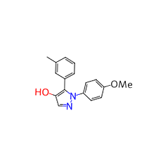 COc1ccc(-n2ncc(O)c2-c2cccc(C)c2)cc1